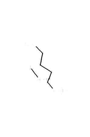 CCCCCCl.CCOC(=O)CCCCC(=O)O